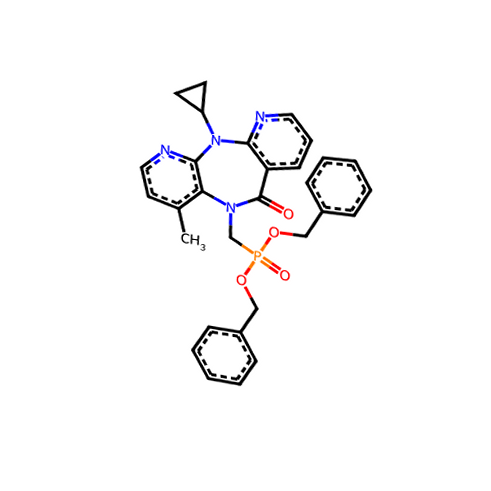 Cc1ccnc2c1N(CP(=O)(OCc1ccccc1)OCc1ccccc1)C(=O)c1cccnc1N2C1CC1